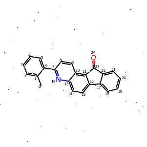 Cc1ccccc1-c1ccc2c3c(ccc2n1)-c1ccccc1C3=O